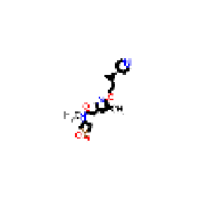 Cc1cc(CC(=O)N(C)C2CCS(=O)(=O)C2)cnc1OCCC1C[C@@H]1C1CCNCC1